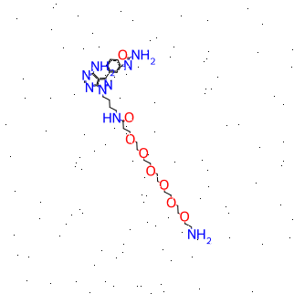 NCCOCCOCCOCCOCCOCCOCCC(=O)NCCCCn1nc(-c2ccc3oc(N)nc3c2)c2c(N)ncnc21